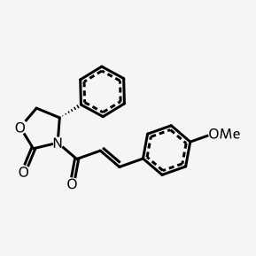 COc1ccc(/C=C/C(=O)N2C(=O)OC[C@@H]2c2ccccc2)cc1